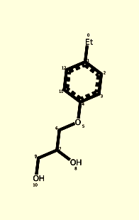 CCc1ccc(OCC(O)[CH]O)cc1